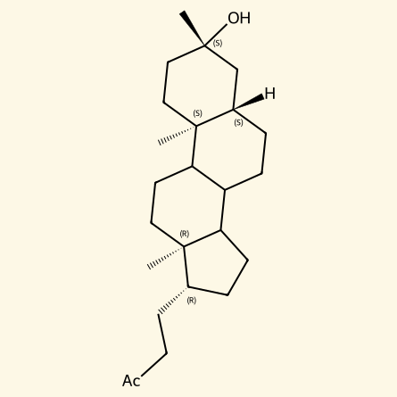 CC(=O)CC[C@H]1CCC2C3CC[C@H]4C[C@@](C)(O)CC[C@]4(C)C3CC[C@@]21C